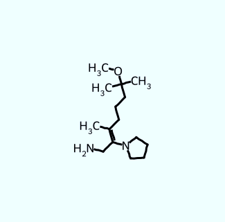 COC(C)(C)CCCC(C)=C(CN)N1CCCC1